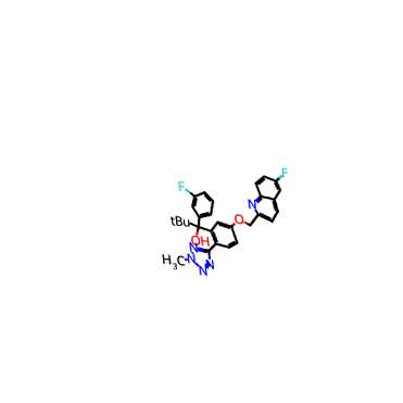 Cn1nnc(-c2ccc(OCc3ccc4cc(F)ccc4n3)cc2C(O)(c2cccc(F)c2)C(C)(C)C)n1